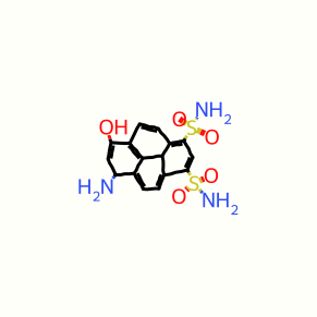 NC1C=C(O)C2=C3C1=CC=C1C(S(N)(=O)=O)=CC(S(N)(=O)=O)=C(C=C2)C13